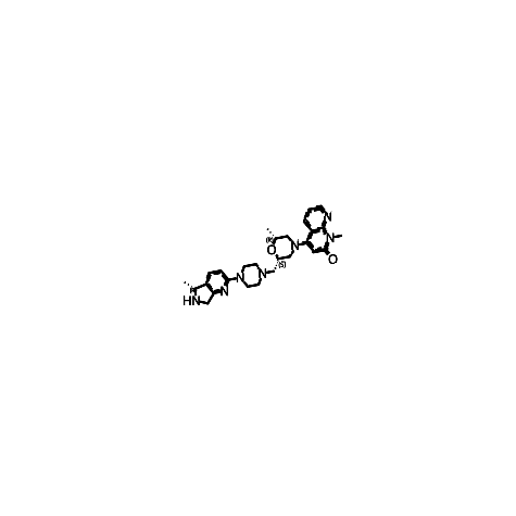 C[C@@H]1CN(c2cc(=O)n(C)c3ncccc23)C[C@H](CN2CCN(c3ccc4c(n3)CN[C@@H]4C)CC2)O1